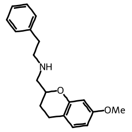 COc1ccc2c(c1)OC(CNCCc1ccccc1)CC2